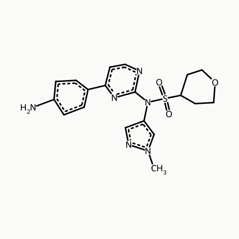 Cn1cc(N(c2nccc(-c3ccc(N)cc3)n2)S(=O)(=O)C2CCOCC2)cn1